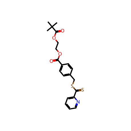 CC(C)(C)C(=O)OCCOC(=O)c1ccc(CSC(=S)c2ccccn2)cc1